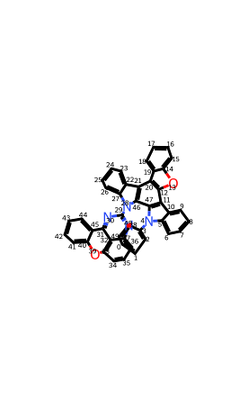 c1ccc(-n2c3ccccc3c3c4oc5ccccc5c4c4c5ccccc5n(-c5nc6c7c(cccc7n5)Oc5ccccc5-6)c4c32)cc1